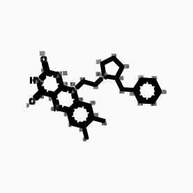 Cc1cc2nc3c(=O)[nH]c(=O)nc-3n(CCN3CCCC3Cc3ccccc3)c2cc1C